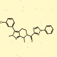 CC1c2nn(C)c(-c3cccc(Cl)c3)c2CCN1C(=O)c1ncn(-c2ccccc2)n1